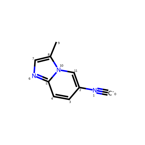 [C-]#[N+]c1ccc2ncc(C)n2c1